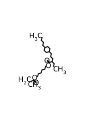 C=C(C)C(=O)OCCCCCCOC(=O)C(CCC)CCCC1CCC(CCCCC)CC1